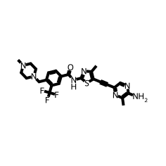 Cc1nc(C#Cc2sc(NC(=O)c3ccc(CN4CCN(C)CC4)c(C(F)(F)F)c3)nc2C)cnc1N